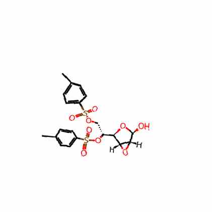 Cc1ccc(S(=O)(=O)OC[C@@H](OS(=O)(=O)c2ccc(C)cc2)[C@H]2O[C@@H](O)[C@@H]3O[C@@H]32)cc1